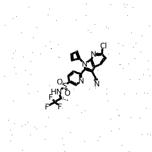 C[C@@H](NS(=O)(=O)c1ccc(-c2c(C#N)c3ccc(Cl)nc3n2C2=CC=C2)nc1)C(F)(F)F